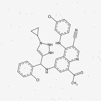 CC(=O)c1cc(NC(C2=CN(C3CC3)NN2)c2ccccc2Cl)cc2c(Nc3cccc(Cl)c3)c(C#N)cnc12